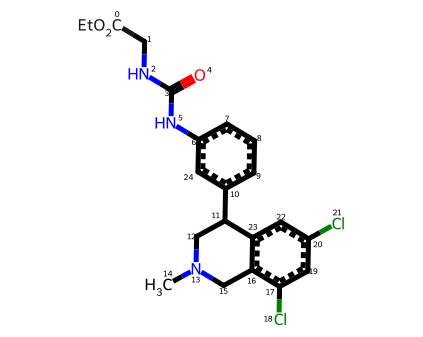 CCOC(=O)CNC(=O)Nc1cccc(C2CN(C)Cc3c(Cl)cc(Cl)cc32)c1